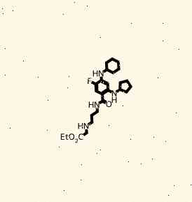 CCOC(=O)CNCCCNC(=O)c1cc(F)c(NC2CCCCC2)cc1NC1CCCC1